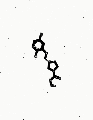 CC(C)(C)OC(=O)N1CC[C@@H](COc2cc(Br)cnc2Cl)C1